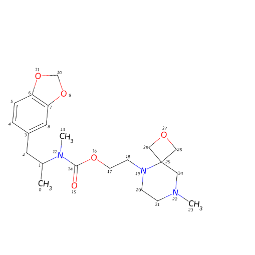 CC(Cc1ccc2c(c1)OCO2)N(C)C(=O)OCCN1CCN(C)CC12COC2